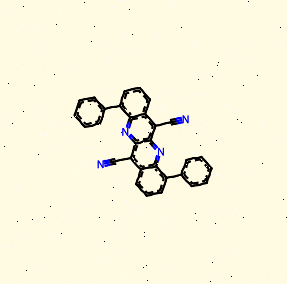 N#Cc1c2cccc(-c3ccccc3)c2nc2c(C#N)c3cccc(-c4ccccc4)c3nc12